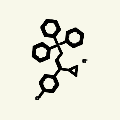 Clc1ccc(C(=CC[P+](c2ccccc2)(c2ccccc2)c2ccccc2)C2CC2)cc1.[Cl-]